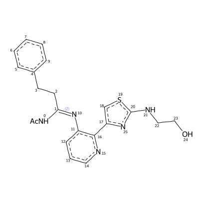 CC(=O)N/C(CCc1ccccc1)=N\c1cccnc1-c1csc(NCCO)n1